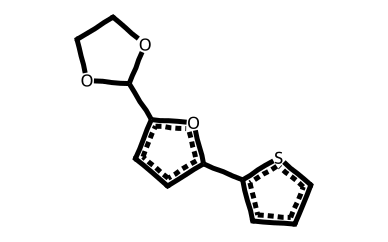 c1csc(-c2ccc(C3OCCO3)o2)c1